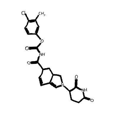 Cc1cc(OC(=O)NC(=O)C2C=CC3=CN(C4CCC(=O)NC4=O)CC3C2)ccc1Cl